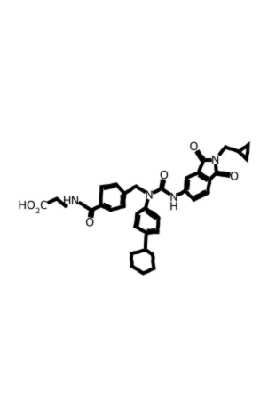 O=C(O)CCNC(=O)c1ccc(CN(C(=O)Nc2ccc3c(c2)C(=O)N(CC2CC2)C3=O)c2ccc(C3CCCCC3)cc2)cc1